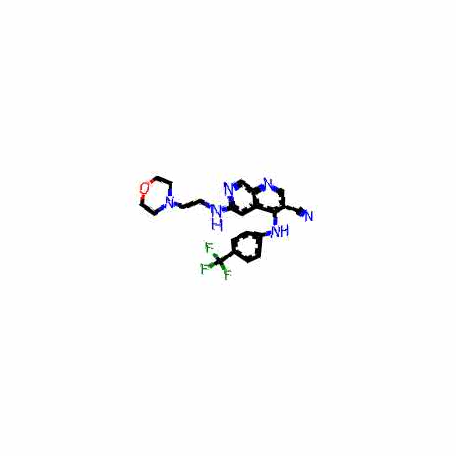 N#Cc1cnc2cnc(NCCN3CCOCC3)cc2c1Nc1ccc(C(F)(F)F)cc1